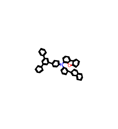 c1ccc(-c2cc(-c3ccccc3)cc(-c3ccc(N(c4cccc(-c5ccc6ccccc6c5)c4)c4cccc5c4oc4ccccc45)cc3)c2)cc1